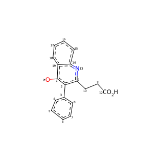 [O]c1c(-c2ccccc2)c(CCC(=O)O)nc2ccccc12